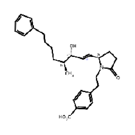 C[C@@H](CCCCc1ccccc1)[C@H](O)/C=C/[C@H]1CCC(=O)N1CCc1ccc(C(=O)O)cc1